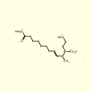 CCCCCCCC(=O)CCCCCC/C=C/[C@H](C)[C@@H](CCOC)C(=O)O